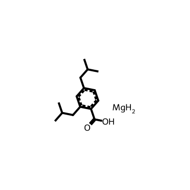 CC(C)Cc1ccc(C(=O)O)c(CC(C)C)c1.[MgH2]